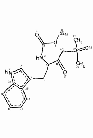 CC(C)(C)OC(=O)NC(Cc1c[nH]c2ccccc12)C(=O)CP(C)(C)=O